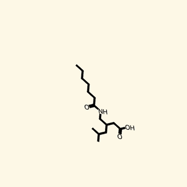 CCCCCCC(=O)NCC(CC(=O)O)CC(C)C